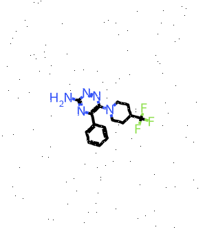 Nc1nnc(N2CCC(C(F)(F)F)CC2)c(-c2ccccc2)n1